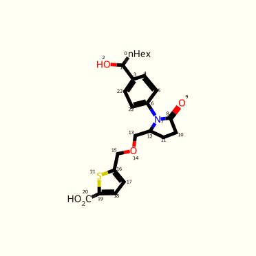 CCCCCCC(O)c1ccc(N2C(=O)CCC2COCc2ccc(C(=O)O)s2)cc1